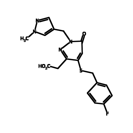 Cn1cc(Cn2nc(CC(=O)O)c(SCc3ccc(F)cc3)cc2=O)cn1